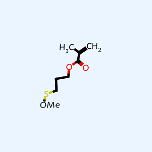 C=C(C)C(=O)OCCCSOC